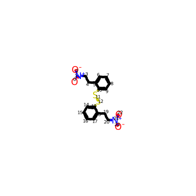 O=[N+]([O-])CCc1ccccc1SSc1ccccc1CC[N+](=O)[O-]